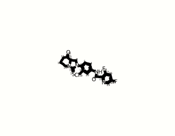 O=C(Nc1ccc(N2CC3C(=O)CCCN3C2=S)c(Cl)c1)c1ncc(F)cc1F